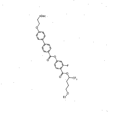 CCCCCCCCCCCCOc1ccc(-c2ccc(C(=O)Oc3ccc(C(=O)OC(CCCOCC)C(F)(F)F)c(F)c3)cc2)cc1